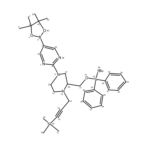 CC1(C)OB(c2cnc(N3CCN(CC#C[Si](C)(C)C)C(CO[Si](c4ccccc4)(c4ccccc4)C(C)(C)C)C3)nc2)OC1(C)C